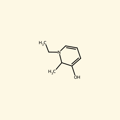 CCN1C=CC=C(O)C1C